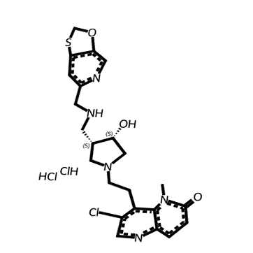 Cl.Cl.Cn1c(=O)ccc2ncc(Cl)c(CCN3C[C@H](CNCc4cc5c(cn4)OCS5)[C@H](O)C3)c21